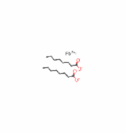 CCCCCCCC(=O)[O-].CCCCCCCC(=O)[O-].[Pb+2]